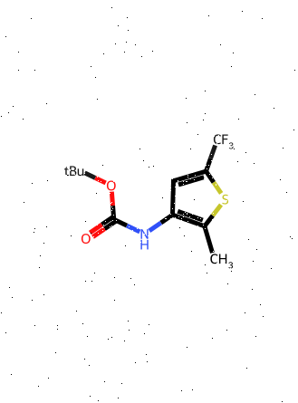 Cc1sc(C(F)(F)F)cc1NC(=O)OC(C)(C)C